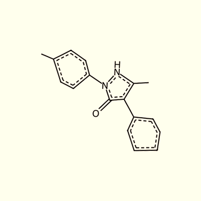 Cc1ccc(-n2[nH]c(C)c(-c3ccccc3)c2=O)cc1